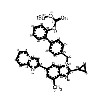 Cc1cc(-c2cn3ccccc3n2)cc2c1nc(C1CC1)n2Cc1ccc(-c2ccccc2OC(=O)OC(C)(C)C)cc1